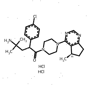 C[C@@H]1CCc2ncnc(N3CCN(C(=O)C(CC(C)(C)N)c4ccc(Cl)cc4)CC3)c21.Cl.Cl